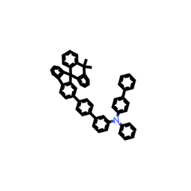 CC1(C)c2ccccc2C2(c3ccccc3-c3ccc(-c4ccc(-c5cccc(N(c6ccccc6)c6ccc(-c7ccccc7)cc6)c5)cc4)cc32)c2ccccc21